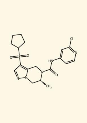 C[C@H]1Cn2ncc(S(=O)(=O)C3CCCC3)c2CN1C(=O)Nc1ccnc(Cl)c1